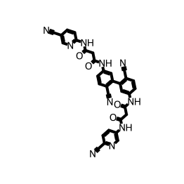 N#Cc1ccc(NC(=O)CC(=O)Nc2ccc(C#N)c(-c3cc(NC(=O)CC(=O)Nc4ccc(C#N)nc4)ccc3C#N)c2)nc1